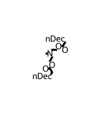 CCCCCCCCCCCC(=O)OCCN(C)CCOC(=O)CCCCCCCCCCC